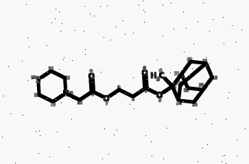 CC1(OC(=O)CCOC(=O)CN2CCSCC2)C2CC3CC(C2)CC1C3